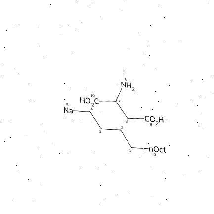 CCCCCCCCCCC[CH2][Na].NC(CC(=O)O)C(=O)O